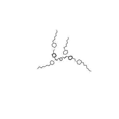 CCCCCCC[C@H]1CC[C@H](CCc2ccc(C(=CCOCC=C(c3ccc(CC[C@H]4CC[C@H](CCCCCCC)CC4)cc3)[C@H]3CC[C@H](CCCCCCC)CC3)[C@H]3CC[C@H](CCCCCCC)CC3)cc2)CC1